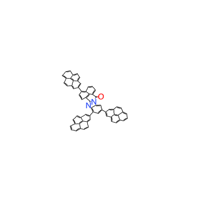 O=c1c2cccc3c(-c4cc5ccc6cccc7ccc(c4)c5c67)ccc(c32)c2nc3c(-c4cc5ccc6cccc7ccc(c4)c5c67)cc(-c4cc5ccc6cccc7ccc(c4)c5c67)cc3n12